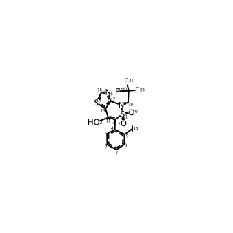 O=S1(=O)C(c2ccccc2I)=C(O)c2scnc2N1CC(F)(F)F